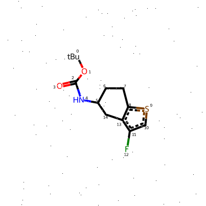 CC(C)(C)OC(=O)NC1CCc2scc(F)c2C1